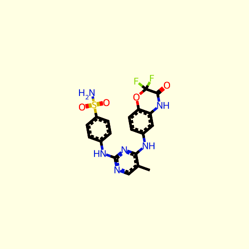 Cc1cnc(Nc2ccc(S(N)(=O)=O)cc2)nc1Nc1ccc2c(c1)NC(=O)C(F)(F)O2